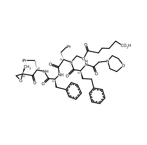 CC(C)C[C@H](NC(=O)[C@H](Cc1ccccc1)NC(=O)[C@H](CC(C)C)N(COC(=O)CCCCC(=O)O)C(=O)[C@H](CCc1ccccc1)NC(=O)CN1CCOCC1)C(=O)[C@@]1(C)CO1